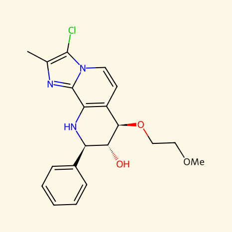 COCCO[C@@H]1c2ccn3c(Cl)c(C)nc3c2N[C@H](c2ccccc2)[C@H]1O